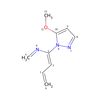 C=C/C=C(\N=C)n1nccc1OC